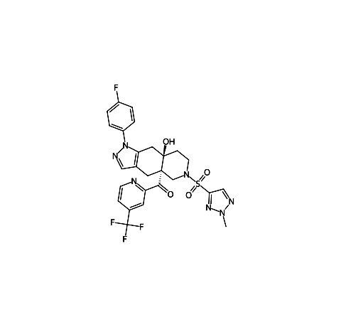 Cn1ncc(S(=O)(=O)N2CC[C@@]3(O)Cc4c(cnn4-c4ccc(F)cc4)C[C@]3(C(=O)c3cc(C(F)(F)F)ccn3)C2)n1